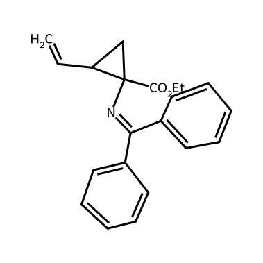 C=CC1CC1(N=C(c1ccccc1)c1ccccc1)C(=O)OCC